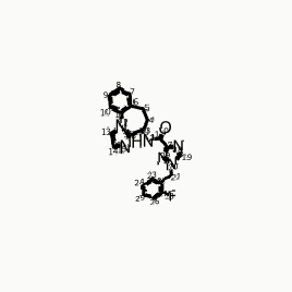 O=C(N[C@@H]1CCc2ccccc2-n2ccnc21)c1ncn(Cc2ccccc2F)n1